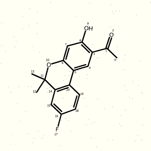 CC(=O)c1cc2c(cc1O)OC(C)(C)c1cc(F)ccc1-2